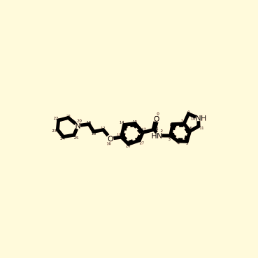 O=C(Nc1ccc2c(c1)CNC2)c1ccc(OCCCN2CCCCC2)cc1